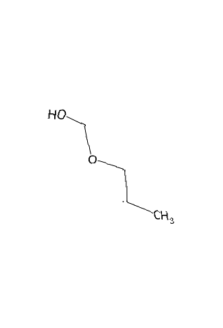 C[CH]COCO